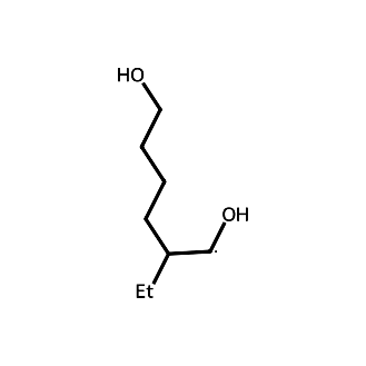 CCC([CH]O)CCCCO